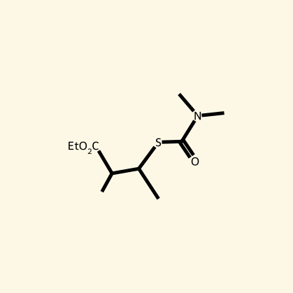 CCOC(=O)C(C)C(C)SC(=O)N(C)C